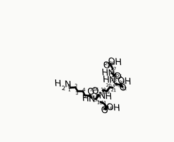 NCCCCCC(=O)N[C@@H](CCC(=O)O)C(=O)NCCCC[C@H](NC(=O)NCC(=O)O)C(=O)O